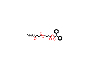 COC(=O)/C=C/C(=O)OCCCC(=O)OC(=O)C(c1ccccc1)c1ccccc1